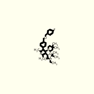 CCOC(=O)[C@@H](OC(C)(C)C)c1c(C)nc(C)c(-c2ccc(COCc3ccc(F)cc3)cc2)c1N1CCC(C)(C)CC1